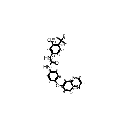 O=C(Nc1ccc(Oc2ccc3nccnc3c2)cc1)Nc1ccc(C(F)(F)F)c(Cl)c1